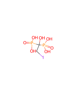 O=P(O)(O)C(O)(CI)P(=O)(O)O